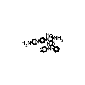 NC(=O)c1nc(-c2ccccc2)c(NC2CCOCC2)nc1Nc1ccc(N2CCC(N)CC2)cc1